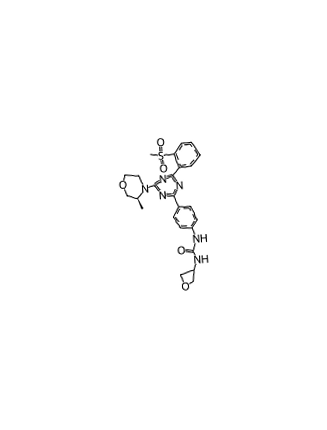 C[C@H]1COCCN1c1nc(-c2ccc(NC(=O)NC3COC3)cc2)nc(-c2ccccc2S(C)(=O)=O)n1